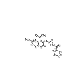 O=C(O)c1c(OC2CN(C(=O)c3ccccc3)C2)ccc2c1OB(O)CC2